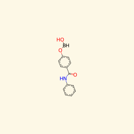 O=C(Nc1ccccc1)c1ccc(OBO)cc1